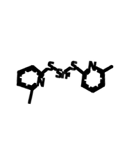 Cc1cccc([S][Sn][S]c2cccc(C)n2)n1